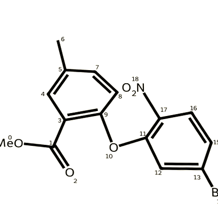 COC(=O)c1cc(C)ccc1Oc1cc(Br)ccc1[N+](=O)[O-]